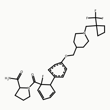 NC(=O)C1CCCN1C(=O)C1(F)C=CC=CC1c1ccc(OCC2CCN(CC3(C(F)(F)F)CCC3)CC2)cc1